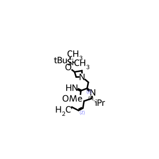 C=C/C=C\C[C@H](/N=C(/CN1CC(O[Si](C)(C)C(C)(C)C)C1)C(=N)OC)C(C)C